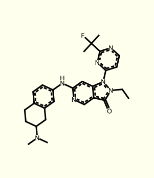 CCn1c(=O)c2cnc(Nc3ccc4c(c3)CC(N(C)C)CC4)cc2n1-c1ccnc(C(C)(C)F)n1